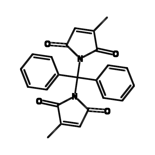 CC1=CC(=O)N(C(c2ccccc2)(c2ccccc2)N2C(=O)C=C(C)C2=O)C1=O